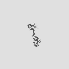 Cn1ccnc1C(=O)C1CCN(C(=O)CCCc2cn3cccc3c(=O)[nH]2)CC1